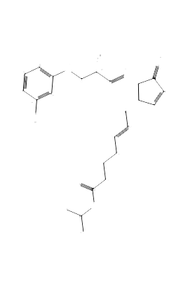 CC(C)OC(=O)CCCC=CC[C@H]1C=CC(=O)[C@H]1C=C[C@@H](O)COc1cccc(Cl)c1